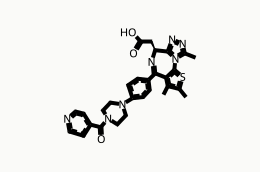 Cc1sc2c(c1C)C(c1ccc(N3CCN(C(=O)c4ccncc4)CC3)cc1)=N[C@@H](CC(=O)O)c1nnc(C)n1-2